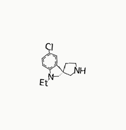 CCN1C[C@@]2(CCNC2)c2cc(Cl)ccc21